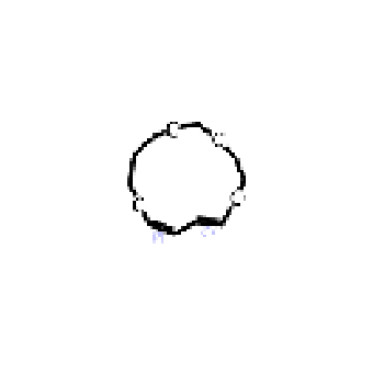 [CH]1/C=C/C=C\CCCCCCCCC1